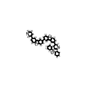 O=P(c1ccccc1)(c1ccccc1)c1cncc(-c2ccc3oc4ccc(-c5ccc6oc7ccc(-c8cccnc8)cc7c6c5)cc4c3c2)c1